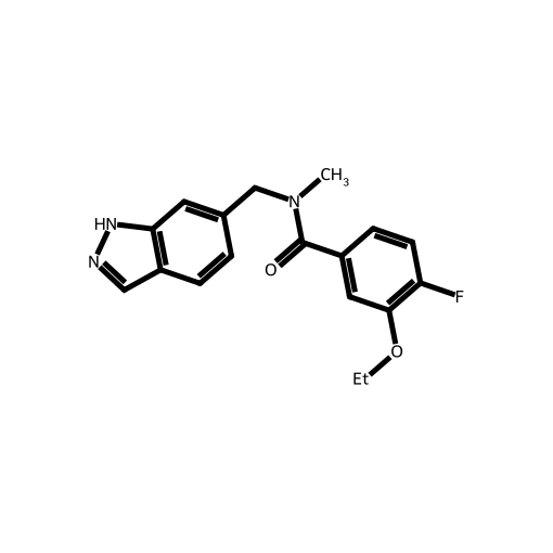 CCOc1cc(C(=O)N(C)Cc2ccc3cn[nH]c3c2)ccc1F